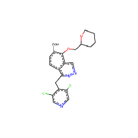 COc1ccc2c(Cc3c(Cl)cncc3Cl)nncc2c1OCC1CCCCO1